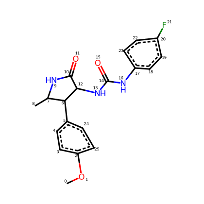 COc1ccc(C2C(C)NC(=O)C2NC(=O)Nc2ccc(F)cc2)cc1